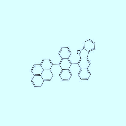 C1=Cc2ccc3ccc(-c4c5ccccc5c(-c5c6ccccc6cc6c5oc5ccccc56)c5ccccc45)c4c3c2C(=CC4)C1